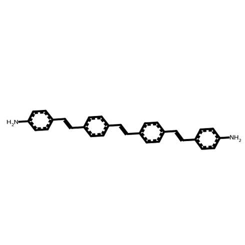 Nc1ccc(C=Cc2ccc(C=Cc3ccc(C=Cc4ccc(N)cc4)cc3)cc2)cc1